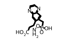 NOP(=O)(O)Cc1cc2nccnc2cc1CCC(=O)O